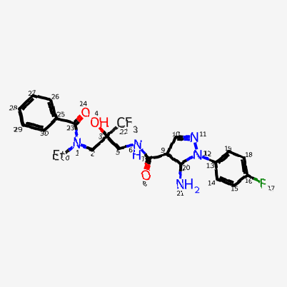 CCN(CC(O)(CNC(=O)C1C=NN(c2ccc(F)cc2)C1N)C(F)(F)F)C(=O)c1ccccc1